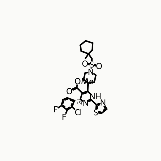 COC(=O)C1=C(C2CCN(S(=O)(=O)CC3(C)CCCCC3)CC2)NC(c2nccs2)=N[C@@H]1c1ccc(F)c(F)c1Cl